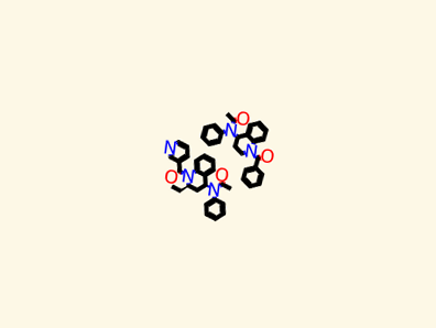 CC(=O)N(c1ccccc1)C1CCN(C(=O)c2ccccc2)c2ccccc21.CC[C@@H]1C[C@H](N(C(C)=O)c2ccccc2)c2ccccc2N1C(=O)c1cccnc1